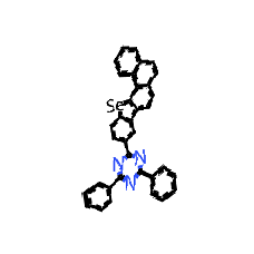 c1ccc(-c2nc(-c3ccccc3)nc(-c3ccc4[se]c5c(ccc6ccc7ccccc7c65)c4c3)n2)cc1